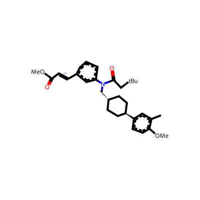 COC(=O)/C=C/c1cccc(N(C[C@H]2CC[C@H](c3ccc(OC)c(C)c3)CC2)C(=O)CC(C)(C)C)c1